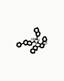 c1ccc(-c2ccc3cc(C4=NC(c5c(-c6ccc7ccccc7c6)ccc6oc7ccccc7c56)=NC(c5ccc6ccccc6c5)N4)ccc3c2)cc1